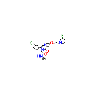 CC(C)NC(=O)Cn1c(C2C=C(Cl)C=CC2)cn2cc(OCCCN3CCCC(F)C3)cc2c1=O